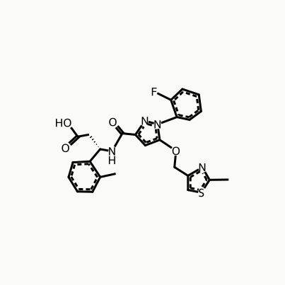 Cc1nc(COc2cc(C(=O)N[C@@H](CC(=O)O)c3ccccc3C)nn2-c2ccccc2F)cs1